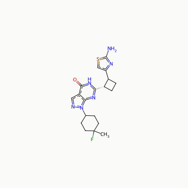 CC1(F)CCC(n2ncc3c(=O)[nH]c([C@H]4CCC4c4csc(N)n4)nc32)CC1